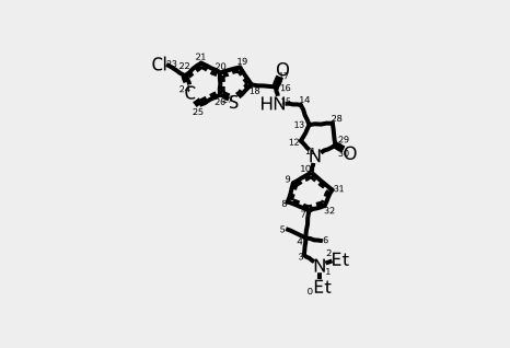 CCN(CC)CC(C)(C)c1ccc(N2CC(CNC(=O)c3cc4cc(Cl)ccc4s3)CC2=O)cc1